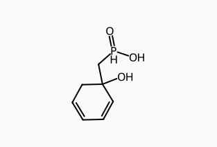 O=[PH](O)CC1(O)C=CC=CC1